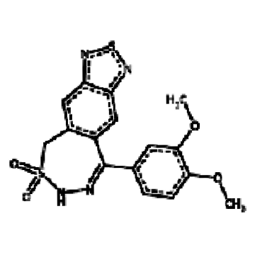 COc1ccc(C2=NNS(=O)(=O)Cc3cc4nsnc4cc32)cc1OC